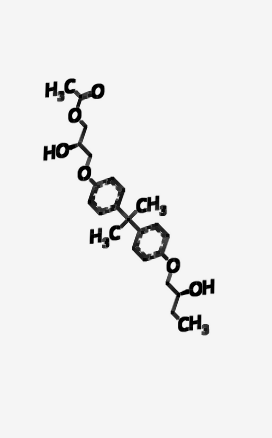 CC[C@H](O)COc1ccc(C(C)(C)c2ccc(OC[C@@H](O)COC(C)=O)cc2)cc1